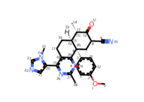 COc1ccc([C@@]23CC(C#N)C(=O)[C@@H](C)[C@@H]2CCc2c(-c4cncn4C)nc(C)nc23)cc1